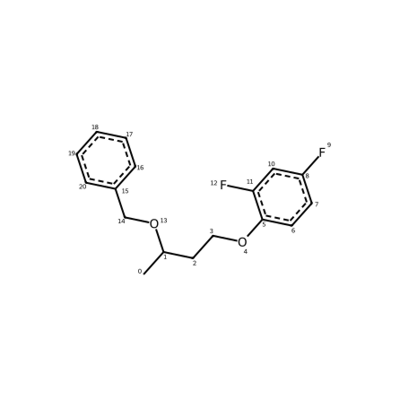 CC(CCOc1ccc(F)cc1F)OCc1ccccc1